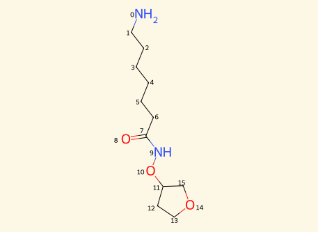 NCCCCCCC(=O)NOC1CCOC1